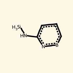 [SiH3]Nc1cccbn1